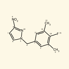 Cc1cc(Cn2ccc([N+](=O)[O-])n2)cc(C)c1F